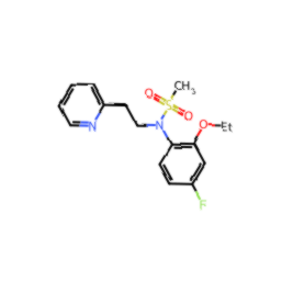 CCOc1cc(F)ccc1N(CCc1ccccn1)S(C)(=O)=O